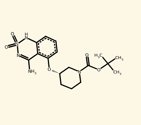 CC(C)(C)OC(=O)N1CCC[C@H](Oc2cccc3c2C(N)=NS(=O)(=O)N3)C1